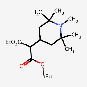 CCCCOC(=O)C(C(=O)OCC)C1CC(C)(C)N(C)C(C)(C)C1